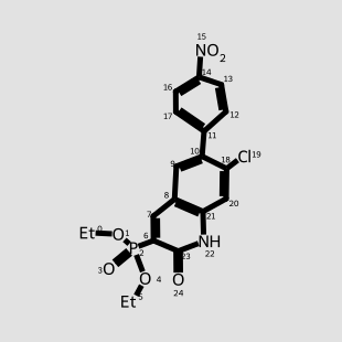 CCOP(=O)(OCC)c1cc2cc(-c3ccc([N+](=O)[O-])cc3)c(Cl)cc2[nH]c1=O